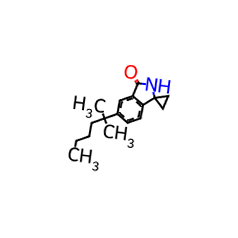 CCCCC(C)(C)c1ccc2c(c1)C(=O)NC21CC1